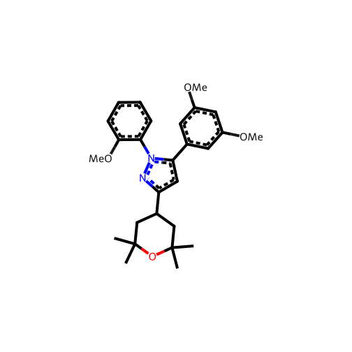 COc1cc(OC)cc(-c2cc(C3CC(C)(C)OC(C)(C)C3)nn2-c2ccccc2OC)c1